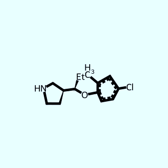 CC[C@@H](Oc1ccc(Cl)cc1C)[C@H]1CCNC1